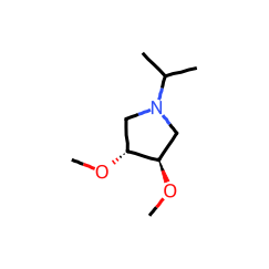 CO[C@@H]1CN(C(C)C)C[C@H]1OC